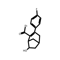 CCC(=O)C1=C(c2ccc(F)cc2)CC2CC(O)C1C2